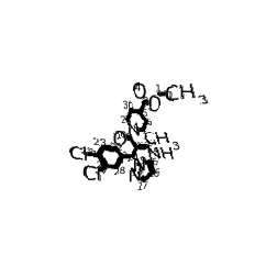 CCOC(=O)C1CCN(C(=O)C2=C(C)Nc3ccnn3C2c2ccc(Cl)c(Cl)c2)CC1